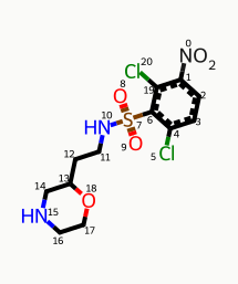 O=[N+]([O-])c1ccc(Cl)c(S(=O)(=O)NCCC2CNCCO2)c1Cl